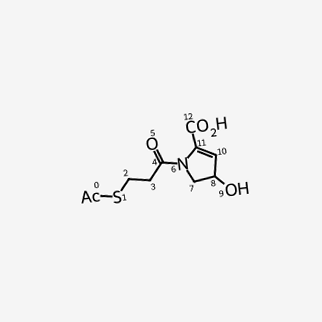 CC(=O)SCCC(=O)N1CC(O)C=C1C(=O)O